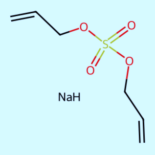 C=CCOS(=O)(=O)OCC=C.[NaH]